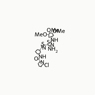 COc1cc(Nc2nc(N)c(-c3nc(-c4cccc(NC(=O)c5cccc(Cl)n5)c4)cs3)s2)cc(OC)c1OC